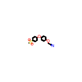 CS(=O)(=O)c1ccc(Oc2ccc(OCC#N)cc2)cc1